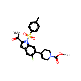 COC(=O)c1cc2cc(F)c(C3=CCN(C(=O)OC(C)(C)C)CC3)cc2n1S(=O)(=O)c1ccc(C)cc1